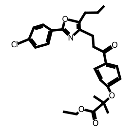 CCCc1oc(-c2ccc(Cl)cc2)nc1CCC(=O)c1ccc(OC(C)(C)C(=O)OCC)cc1